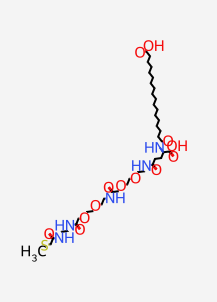 CSCC(=O)NCCNC(=O)COCCOCCNC(=O)COCCOCCNC(=O)CCC(NC(=O)CCCCCCCCCCCCCCCCC(=O)O)C(=O)O